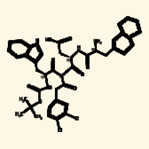 CC(C)(C)OC(=O)N[C@@H](Cc1c[nH]c2ccccc12)C(=O)N(C(=O)Cc1ccc(Cl)c(Cl)c1)C(=O)[C@H](CC(=O)O)NC(=O)[C@@H](N)Cc1ccc2ccccc2c1